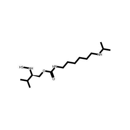 CC(C)NCCCCCCNC(=O)OC[C@H](NS)C(C)C